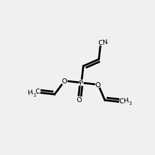 C=COP(=O)(C=CC#N)OC=C